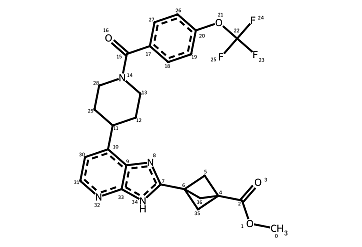 COC(=O)C12CC(c3nc4c(C5CCN(C(=O)c6ccc(OC(F)(F)F)cc6)CC5)ccnc4[nH]3)(C1)C2